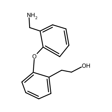 NCc1ccccc1Oc1ccccc1CCO